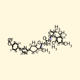 C/C(NC(=O)/N=c1\scc(C)n1-c1c(C)cc(C)cc1C)=C(/C)C1CCC(c2ncn(-c3ccc(OC(F)(F)F)cc3)n2)CC1